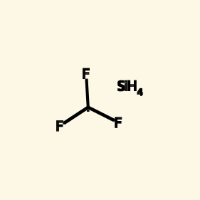 F[C](F)F.[SiH4]